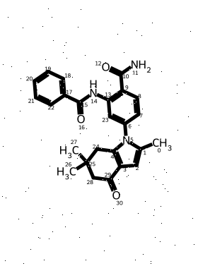 Cc1cc2c(n1-c1ccc(C(N)=O)c(NC(=O)c3ccccc3)c1)CC(C)(C)CC2=O